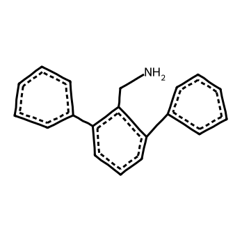 NCc1c(-c2ccccc2)cccc1-c1ccccc1